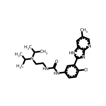 Cc1cnc2nc(-c3cc(NC(=O)NCCN(C(C)C)C(C)C)ccc3Cl)[nH]c2c1